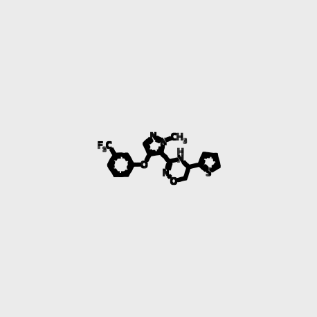 Cn1ncc(Oc2cccc(C(F)(F)F)c2)c1C1=NOCC(c2cccs2)N1